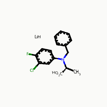 C[C@@H](C(=O)O)N(Cc1ccccc1)c1ccc(F)c(Cl)c1.[LiH]